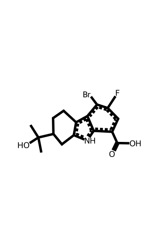 CC(C)(O)C1CCc2c([nH]c3c(C(=O)O)cc(F)c(Br)c23)C1